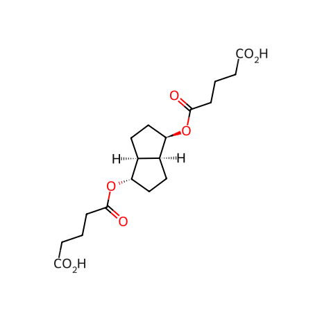 O=C(O)CCCC(=O)O[C@H]1CC[C@H]2[C@@H]1CC[C@H]2OC(=O)CCCC(=O)O